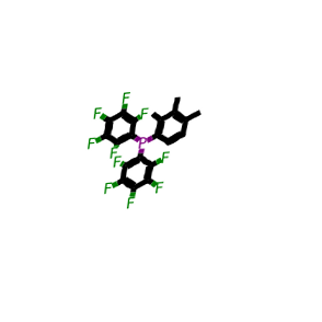 Cc1ccc(P(c2c(F)c(F)c(F)c(F)c2F)c2c(F)c(F)c(F)c(F)c2F)c(C)c1C